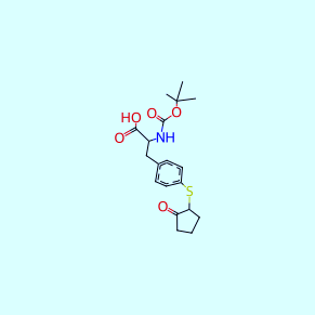 CC(C)(C)OC(=O)NC(Cc1ccc(SC2CCCC2=O)cc1)C(=O)O